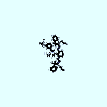 CCCN1/C(=C/C=C2\CCCC(/C=C/C3N(CCC)c4ccccc4C3(C)C)=C2N(N)/C=C(\N)c2cccc(OC(F)F)c2)C(C)(C)c2ccccc21